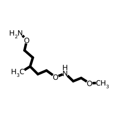 COCCNOCCC(C)CCON